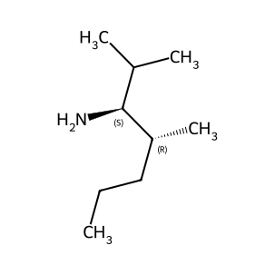 CCC[C@@H](C)[C@@H](N)C(C)C